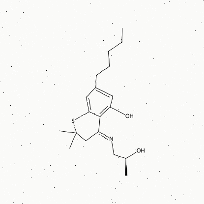 CCCCCc1cc(O)c2c(c1)SC(C)(C)CC2=NC[C@H](C)O